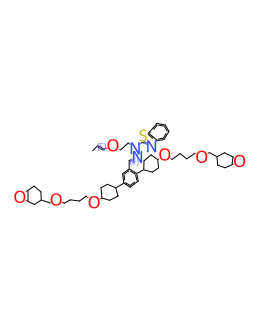 C/C=C/OCCN(/N=C/c1cc(C2CCC(OCCCCOCC3CCC4OC4C3)CC2)ccc1C1CCC(OCCCCOCC2CCC3OC3C2)CC1)c1nc2ccccc2s1